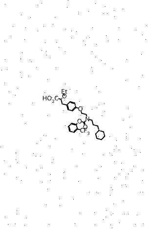 CCOC(Cc1ccc(OCCN(CCCC2CCCCC2)C(=O)Oc2ccccc2C(F)(F)F)cc1)C(=O)O